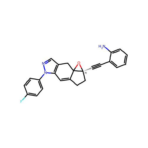 Nc1ccccc1C#C[C@]12CCC3=Cc4c(cnn4-c4ccc(F)cc4)CC31O2